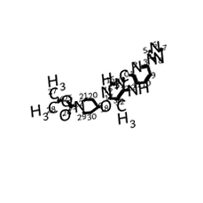 Cc1nc(-n2cncn2)ccc1Nc1ncnc(OC2CCN(C(=O)OC(C)C)CC2)c1C